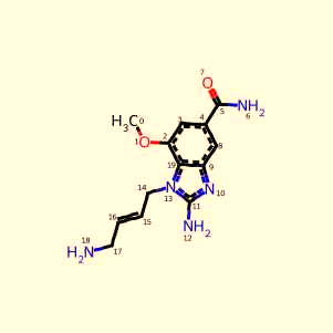 COc1cc(C(N)=O)cc2nc(N)n(C/C=C/CN)c12